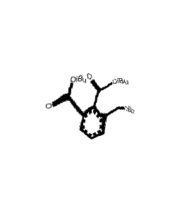 CCCCc1cccc(C(=O)OCC(C)C)c1C(=O)OCC(C)C